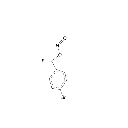 O=NOC(F)c1ccc(Br)cc1